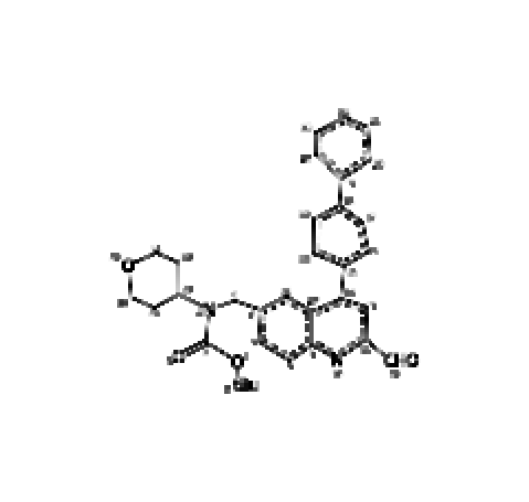 CC(C)(C)OC(=O)N(Cc1ccc2nc(C=O)cc(-c3ccc(-c4ccccc4)cc3)c2c1)C1CCOCC1